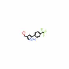 O=Cc1c[nH]c(-c2ccc(C(F)(F)F)cc2)c1